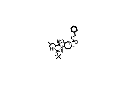 CC(C)CC(NC(=O)OC(C)(C)C)C(=O)N[C@H]1CC[C@@H](C)N(C(=O)OCc2ccccc2)C[C@@H]1O